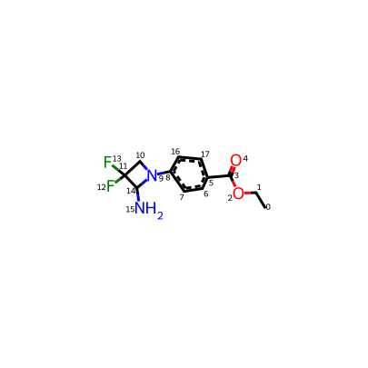 CCOC(=O)c1ccc(N2CC(F)(F)C2N)cc1